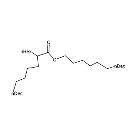 CCCCCCCCCCCCCCCCOC(=O)C(CCCCCC)CCCCCCCCCCCCCC